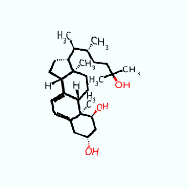 C[C@@H]([C@H](C)CCC(C)(C)O)[C@H]1CC[C@H]2C3=CC=C4C[C@@H](O)C[C@H](O)[C@]4(C)[C@H]3CC[C@]12C